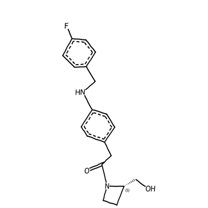 O=C(Cc1ccc(NCc2ccc(F)cc2)cc1)N1CC[C@H]1CO